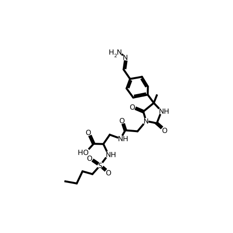 CCCCS(=O)(=O)NC(CNC(=O)CN1C(=O)NC(C)(c2ccc(C=NN)cc2)C1=O)C(=O)O